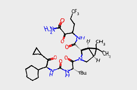 CC(C)(C)[C@H](NC(=O)N[C@H](C(=O)C1CC1)C1CCCCC1)C(=O)N1C[C@H]2[C@@H]([C@H]1C(=O)NC(CCC(F)(F)F)C(=O)C(N)=O)C2(C)C